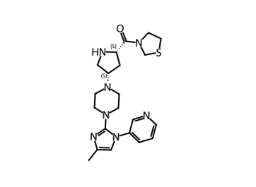 Cc1cn(-c2cccnc2)c(N2CCN([C@@H]3CN[C@H](C(=O)N4CCSC4)C3)CC2)n1